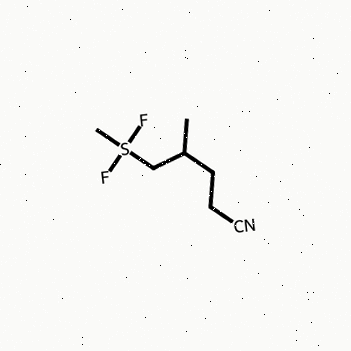 CC(CCC#N)CS(C)(F)F